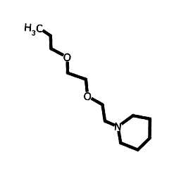 CCCOCCOCCN1CCCCC1